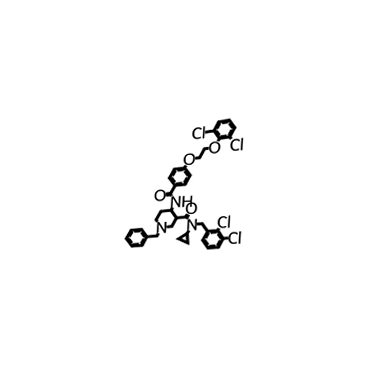 O=C(NC1CCN(Cc2ccccc2)CC1C(=O)N(Cc1cccc(Cl)c1Cl)C1CC1)c1ccc(OCCOc2c(Cl)cccc2Cl)cc1